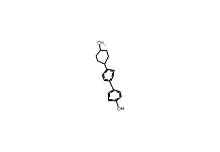 CC1CCC(c2ccc(-c3ccc(O)cc3)cc2)CC1